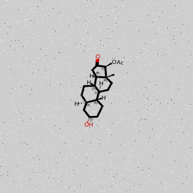 CC(=O)O[C@@H]1C(=O)C[C@@H]2[C@H]3CC[C@@H]4C[C@@H](O)CC[C@H]4[C@@H]3CC[C@@]12C